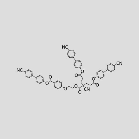 N#Cc1ccc(-c2ccc(OC(=O)CCC(C#N)(CCC(=O)Oc3ccc(-c4ccc(C#N)cc4)cc3)C(=O)OCCOc3ccc(C(=O)Oc4ccc(-c5ccc(C#N)cc5)cc4)cc3)cc2)cc1